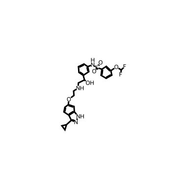 O=S(=O)(Nc1cccc(C(O)CNCCOc2ccc3c(C4CC4)n[nH]c3c2)c1)c1cccc(OC(F)F)c1